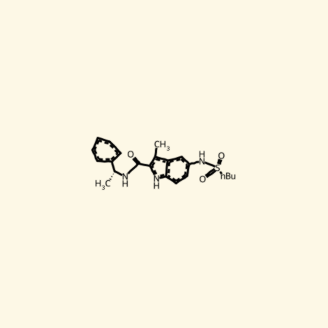 CCCCS(=O)(=O)Nc1ccc2[nH]c(C(=O)N[C@H](C)c3ccccc3)c(C)c2c1